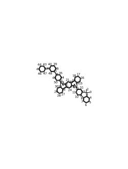 CC1(C)c2ccccc2-c2ccc(-n3c4ccccc4c4cc5c(cc43)c3ccccc3n5-c3ccc(-c4cccc(-c5ccccc5)c4)cc3)cc21